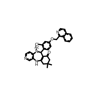 CC(=O)N1c2ccncc2NC2=C(C(=O)CC(C)(C)C2)C1c1ccc(OCc2nccc3ccccc23)cc1Cl